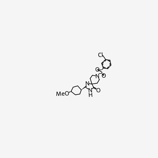 CO[C@H]1CC[C@@H](C2=NC3(CCN(S(=O)(=O)c4cccc(Cl)c4)CC3)C(=O)N2)CC1